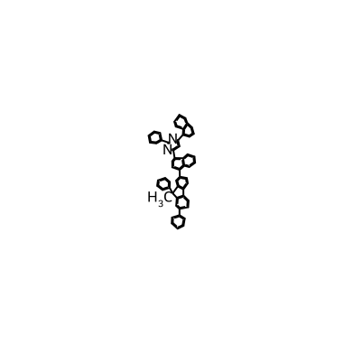 CC1(c2ccccc2)c2cc(-c3ccccc3)ccc2-c2ccc(-c3ccc(-c4cc(-c5cccc6ccccc56)nc(-c5ccccc5)n4)c4ccccc34)cc21